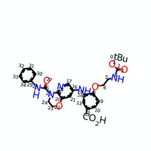 CC(C)(C)OC(=O)NCCOc1ccc(C(=O)O)cc1Nc1cnc2c(c1)OCCN2C(=O)Nc1ccccc1